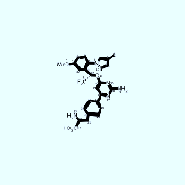 COc1ccc(-n2cc(C)cn2)c([C@H](Oc2cc(-c3ccc(CC(N)C(=O)O)cc3)nc(N)n2)C(F)(F)F)c1